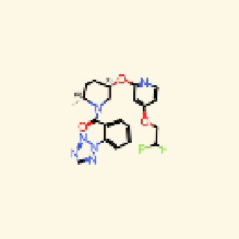 C[C@@H]1CC[C@@H](Oc2cc(OCC(F)F)ccn2)CN1C(=O)c1ccccc1-n1ncnn1